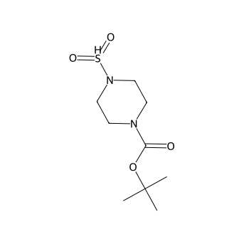 CC(C)(C)OC(=O)N1CCN([SH](=O)=O)CC1